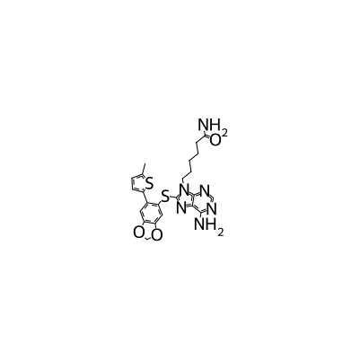 Cc1ccc(-c2cc3c(cc2Sc2nc4c(N)ncnc4n2CCCCCC(N)=O)OCO3)s1